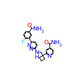 NC(=O)c1ccnc(C2(CNc3ccc(-c4cc(C(N)=O)ccc4F)nn3)CCC2)c1